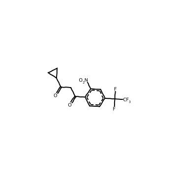 O=C(CC(=O)C1CC1)c1ccc(C(F)(F)C(F)(F)F)cc1[N+](=O)[O-]